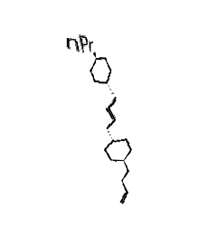 C=CCC[C@H]1CC[C@H](CC=CC[C@H]2CC[C@H](CCC)CC2)CC1